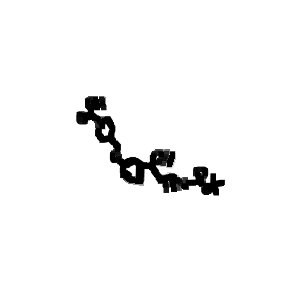 CC(C)(C)OC(=O)NCCC(O)c1cccc(OCC2CCN(C(=O)O)CC2)c1